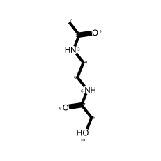 CC(=O)NCCNC(=O)CO